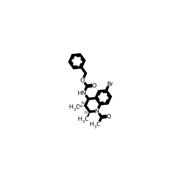 CC(=O)N1c2ccc(Br)cc2C(NC(=O)OCc2ccccc2)[C@@H](C)[C@@H]1C